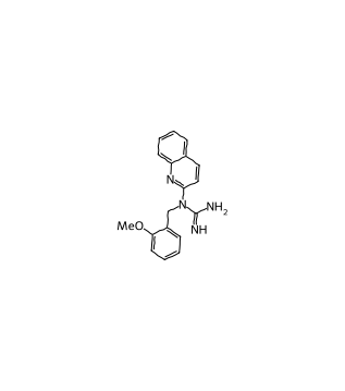 COc1ccccc1CN(C(=N)N)c1ccc2ccccc2n1